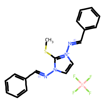 CSc1n(/N=C/c2ccccc2)cc[n+]1/N=C/c1ccccc1.F[B-](F)(F)F